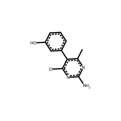 Cc1nc(N)nc(Cl)c1-c1cccc(O)c1